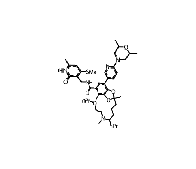 CCCOCCN(C)C(CCC)CCCC1(C)Oc2c(-c3ccc(N4CC(C)OC(C)C4)nc3)cc(C(=O)NCc3c(SC)cc(C)[nH]c3=O)c(C)c2O1